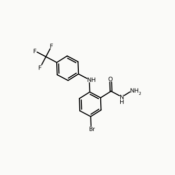 NNC(=O)c1cc(Br)ccc1Nc1ccc(C(F)(F)F)cc1